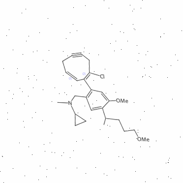 COCCCC(C)c1cc(CN(C)C2CC2)c(C2=C(\Cl)CC#CC/C=C\2)cc1OC